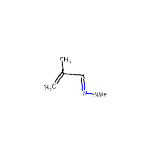 C=C(C)/C=N/NC